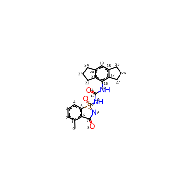 Cc1cccc2c1C(=O)N=S2(=O)NC(=O)Nc1c2c(cc3c1CCC3)CCC2